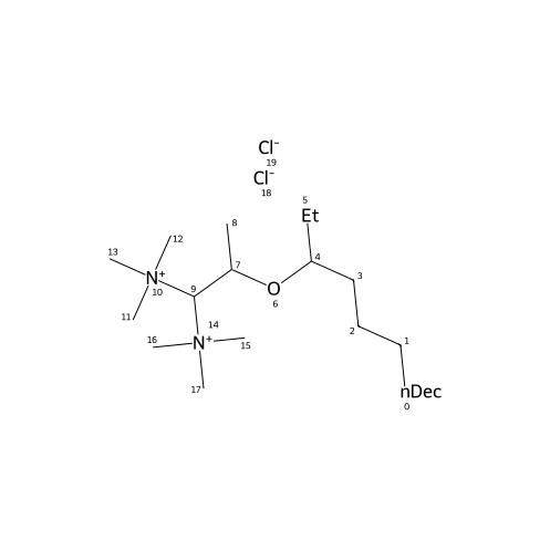 CCCCCCCCCCCCCC(CC)OC(C)C([N+](C)(C)C)[N+](C)(C)C.[Cl-].[Cl-]